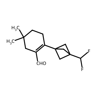 CC1(C)CCC(C23CC(C(F)F)(C2)C3)=C(C=O)C1